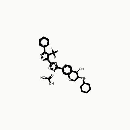 O=C(O)O.O[C@@H]1c2ccc(-c3noc(-c4onc(-c5ccccc5)c4C(F)(F)F)n3)cc2OC[C@@H]1NC1CCCCC1